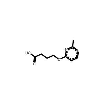 Cc1nccc(OCCCC(=O)O)n1